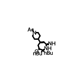 CCCCC1(CCCC)NC(=N)C=C(C2CCN(C(C)=O)CC2)CC1=O